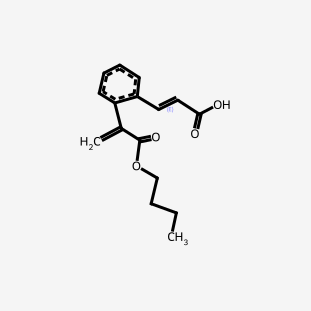 C=C(C(=O)OCCCC)c1ccccc1/C=C/C(=O)O